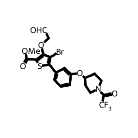 COC(=O)c1sc(-c2cccc(OC3CCN(C(=O)C(F)(F)F)CC3)c2)c(Br)c1OCC=O